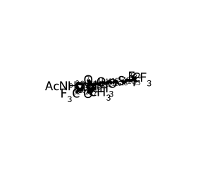 CC(=O)Nc1ccc(N2C(=O)N(CCOCCOCCSCCCC(F)(F)C(F)(F)F)C(C)(C)C2=O)cc1C(F)(F)F